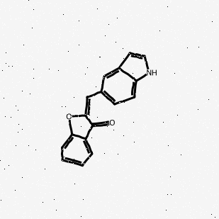 O=C1C(=Cc2ccc3[nH]ccc3c2)Oc2ccccc21